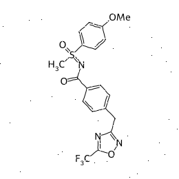 COc1ccc(S(C)(=O)=NC(=O)c2ccc(Cc3noc(C(F)(F)F)n3)cc2)cc1